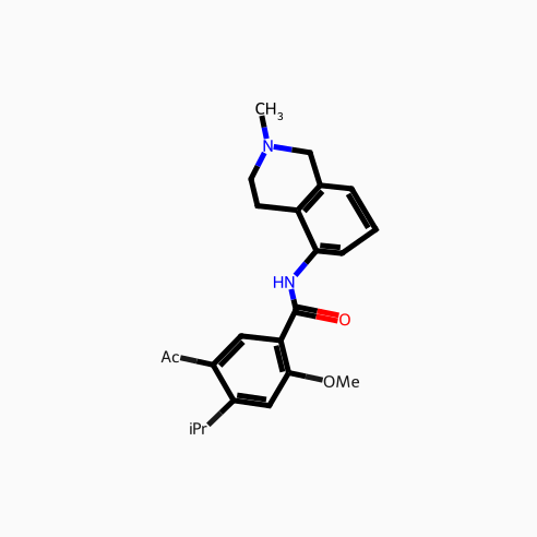 COc1cc(C(C)C)c(C(C)=O)cc1C(=O)Nc1cccc2c1CCN(C)C2